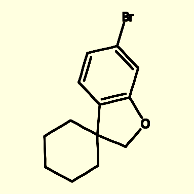 Brc1ccc2c(c1)OCC21CCCCC1